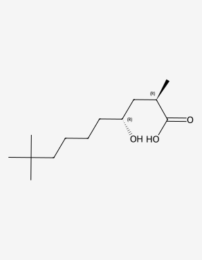 C[C@H](C[C@H](O)CCCCC(C)(C)C)C(=O)O